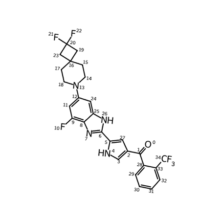 O=C(c1c[nH]c(-c2nc3c(F)cc(N4CCC5(CC4)CC(F)(F)C5)cc3[nH]2)c1)c1ccccc1C(F)(F)F